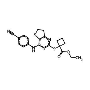 CCOC(=O)C1(Sc2nc3c(c(Nc4ccc(C#N)cc4)n2)SCC3)CCC1